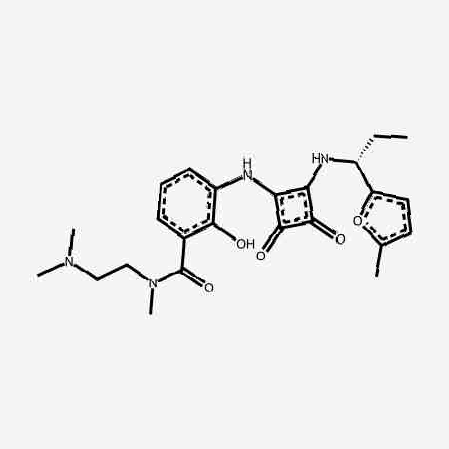 CC[C@@H](Nc1c(Nc2cccc(C(=O)N(C)CCN(C)C)c2O)c(=O)c1=O)c1ccc(C)o1